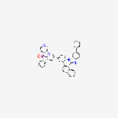 O=P(c1ccccc1)(c1ccncc1)c1ccc(-c2ccc3c(c2)c2ccc4ccccc4c2c2nc4ccc(-c5ccccc5)cc4n32)cn1